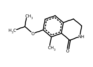 Cc1c(OC(C)C)ccc2c1C(=O)NCC2